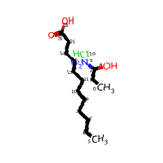 CCC(N)O.CCCCCCCCCCCC(=O)O.Cl